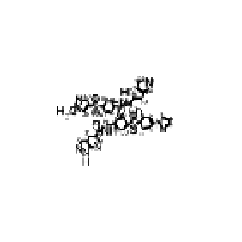 COc1cc(-n2cccn2)ccc1S(=O)(=O)c1ccc(CNC(=O)c2cnc3[nH]ncc3c2)cc1.Cn1cc(S(=O)(=O)c2ccc(CNC(=O)c3cc4cnccc4[nH]3)cc2)cn1